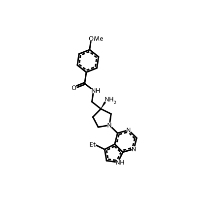 CCc1c[nH]c2ncnc(N3CC[C@](N)(CNC(=O)c4ccc(OC)cc4)C3)c12